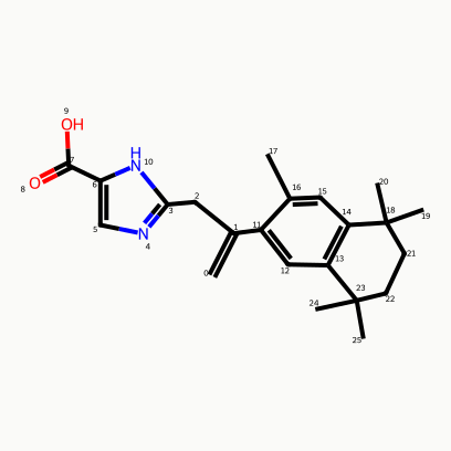 C=C(Cc1ncc(C(=O)O)[nH]1)c1cc2c(cc1C)C(C)(C)CCC2(C)C